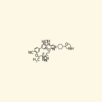 CC(Cn1cnnn1)Oc1cc(-c2cnc(Nc3cn([C@H]4CC[C@H](C5CNCCO5)CC4)nc3OCC(F)(F)F)nc2)ccc1C#N.Cl